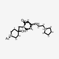 CC(=O)N1CCC(O)(Cn2cnc(NCCN3CCCC3)cc2=O)CC1